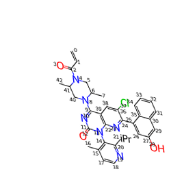 C=CC(=O)N1CC(C)N(c2nc(=O)n(-c3c(C)ccnc3C(C)C)c3nc(-c4cc(O)cc5ccccc45)c(Cl)cc23)CC1C